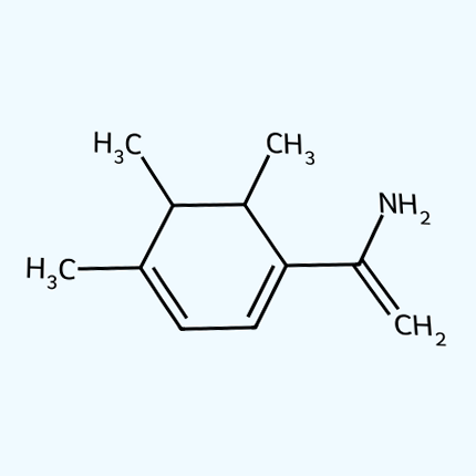 C=C(N)C1=CC=C(C)C(C)C1C